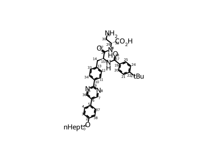 CCCCCCCOc1ccc(-c2cnc(-c3ccc(C[C@H](NC(=O)c4ccc(C(C)(C)C)cc4)C(=O)N[C@H](CN)C(=O)O)cc3)nc2)cc1